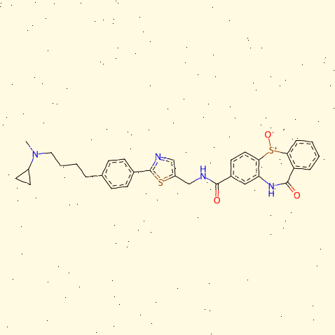 CN(CCCCc1ccc(-c2ncc(CNC(=O)c3ccc4c(c3)NC(=O)c3ccccc3[S+]4[O-])s2)cc1)C1CC1